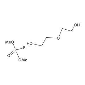 COP(=O)(F)OC.OCCOCCO